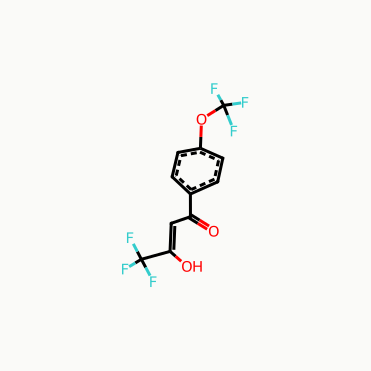 O=C(C=C(O)C(F)(F)F)c1ccc(OC(F)(F)F)cc1